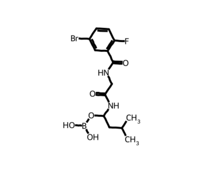 CC(C)CC(NC(=O)CNC(=O)c1cc(Br)ccc1F)OB(O)O